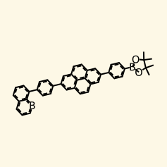 CC1(C)OB(c2ccc(-c3cc4ccc5cc(-c6ccc(-c7cccc8cccbc78)cc6)cc6ccc(c3)c4c56)cc2)OC1(C)C